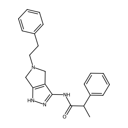 CC(C(=O)Nc1n[nH]c2c1CN(CCc1ccccc1)C2)c1ccccc1